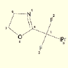 CC(C)C(F)(F)C1=NCCO1